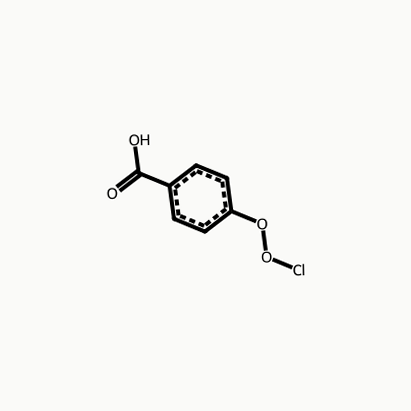 O=C(O)c1ccc(OOCl)cc1